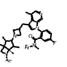 CC(=O)N1CC2(C)C(C)C(N3CC(Cc4cn(-c5ccc(F)cc5C(=O)N(C)C(C)C)c5cncc(C)c45)C3)C(C)[C@]12C